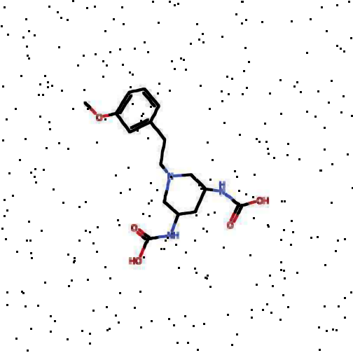 COc1cccc(CCN2CC(NC(=O)O)CC(NC(=O)O)C2)c1